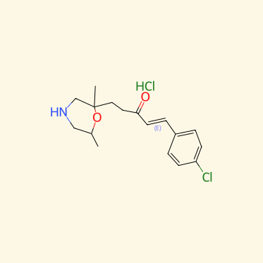 CC1CNCC(C)(CCC(=O)/C=C/c2ccc(Cl)cc2)O1.Cl